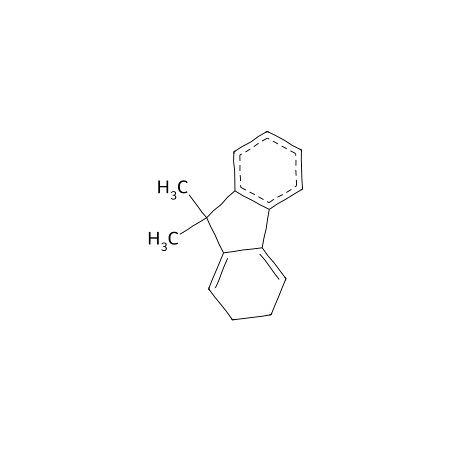 CC1(C)C2=CCCC=C2c2ccccc21